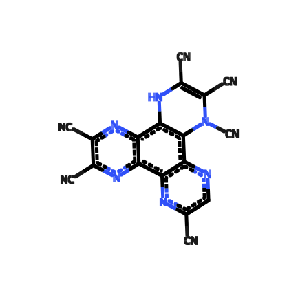 N#CC1=C(C#N)N(C#N)c2c(c3nc(C#N)c(C#N)nc3c3nc(C#N)cnc23)N1